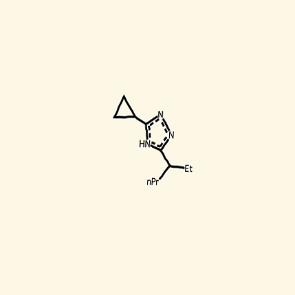 CCCC(CC)c1nnc(C2CC2)[nH]1